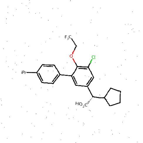 CC(C)c1ccc(-c2cc([C@@H](C(=O)O)C3CCCC3)cc(Cl)c2OCC(F)(F)F)cc1